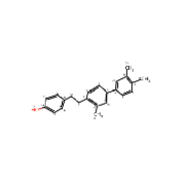 Cc1ccc(-c2ccc(CCc3ccc(O)cc3)c(C)c2)cc1C